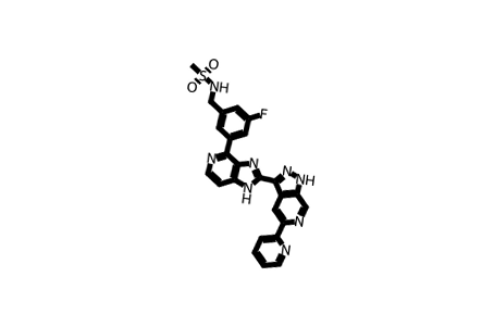 CS(=O)(=O)NCc1cc(F)cc(-c2nccc3[nH]c(-c4n[nH]c5cnc(-c6ccccn6)cc45)nc23)c1